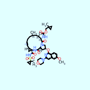 COc1ccc2c(O[C@@H]3C[C@H]4C(=O)N[C@]5(C(=O)NS(=O)(=O)C6(C)CC6)C[C@H]5/C=C\CC[C@@H](C)C[C@@H](C)[C@H](NC(=O)OCC5(C)CC5)C(=O)N4C3)nc(N3CCOCC3)cc2c1